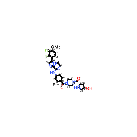 CCc1cc(Nc2nccn3c(-c4ccc(OC)c(F)c4F)cnc23)ccc1C(=O)N1CCN(C(=O)[C@@H]2C[C@@H](O)CN2)CC1